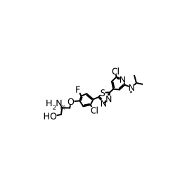 CC(C)N(C)c1cc(-c2nnc(-c3cc(F)c(OC[C@H](N)CO)cc3Cl)s2)cc(Cl)n1